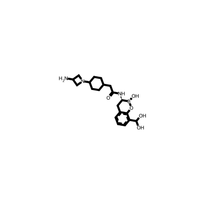 NC1CN(C2CCC(CC(=O)N[C@H]3Cc4cccc(C(O)O)c4OB3O)CC2)C1